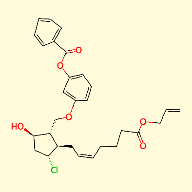 C=CCOC(=O)CCC/C=C\C[C@@H]1[C@@H](COc2cccc(OC(=O)c3ccccc3)c2)[C@H](O)C[C@H]1Cl